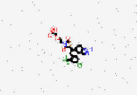 O=C(O)COCCN1C(=O)S/C(=C(/Cc2ccc(Cl)cc2C(F)(F)F)c2ccc3[nH]ncc3c2)C1=O